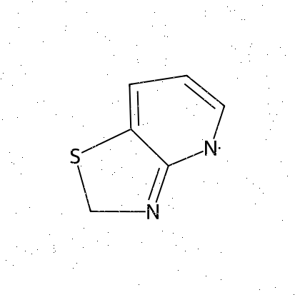 C1=C[N]C2=NCSC2=C1